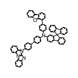 c1ccc2c(c1)-c1ccccc1C21c2ccccc2-c2ccc(N(c3ccc(-c4ccc(-n5c6ccccc6n6c7ccccc7nc56)cc4)cc3)c3ccc(-c4cccc5c4oc4ccccc45)cc3)cc21